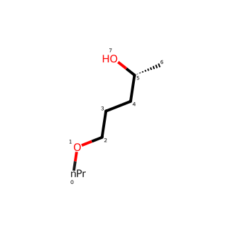 CCCOCCC[C@@H](C)O